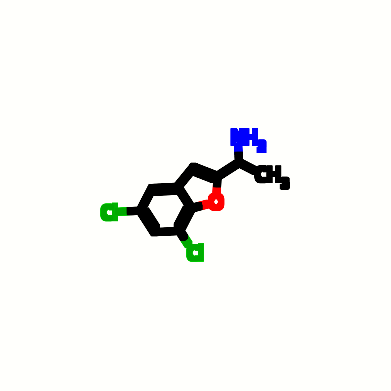 CC(N)c1cc2cc(Cl)cc(Cl)c2o1